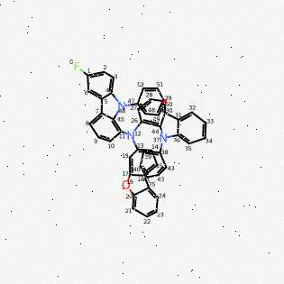 Fc1ccc2c(c1)c1cccc(N(c3ccc4c(c3)oc3ccccc34)c3cccc4c5ccccc5n(-c5ccccc5)c34)c1n2-c1ccccc1